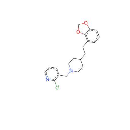 Clc1ncccc1CN1CCC(CCc2cccc3c2OCO3)CC1